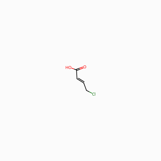 O=C(O)C=CCCl